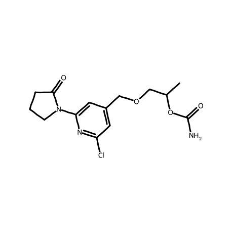 CC(COCc1cc(Cl)nc(N2CCCC2=O)c1)OC(N)=O